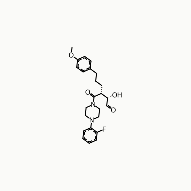 COc1ccc(CCC[C@@H](C(=O)N2CCN(c3ccccc3F)CC2)[C@H](O)C=O)cc1